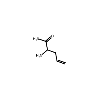 C=CCC(N)C(N)=O